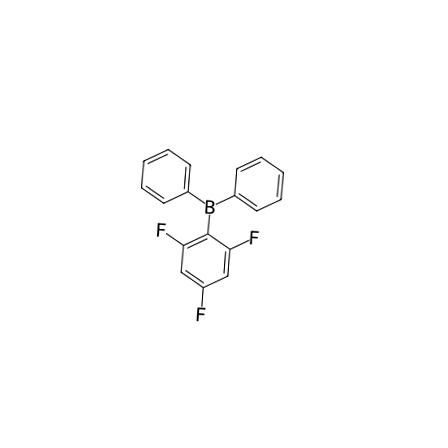 Fc1cc(F)c(B(c2ccccc2)c2ccccc2)c(F)c1